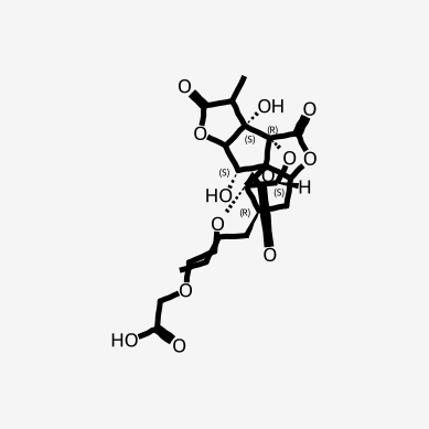 CCCC[C@@H]1CC2OC(=O)[C@@]34O[C@H]5OC(=O)[C@@H](OCCOCC(=O)O)C15C23[C@H](O)C1OC(=O)C(C)[C@]14O